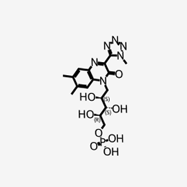 Cc1cc2nc(-c3nnnn3C)c(=O)n(C[C@H](O)[C@H](O)[C@H](O)COP(=O)(O)O)c2cc1C